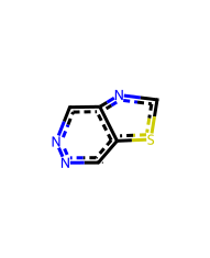 [c]1nncc2ncsc12